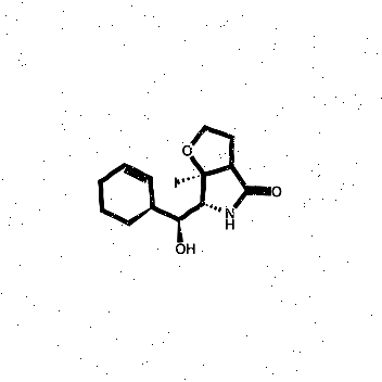 O=C1N[C@H]([C@@H](O)[C@@H]2C=CCCC2)[C@@]2(I)OCCC12